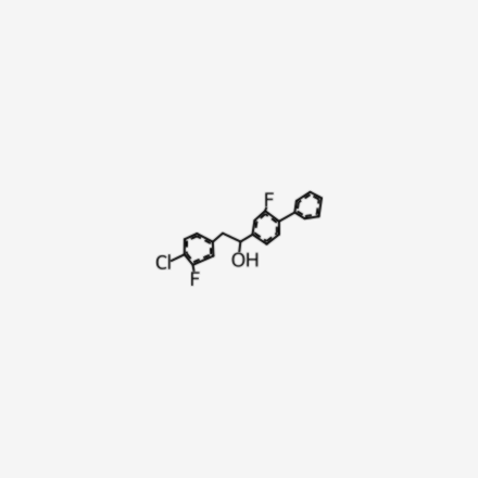 OC(Cc1ccc(Cl)c(F)c1)c1ccc(-c2ccccc2)c(F)c1